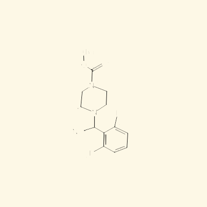 CC(C)(C)OC(=O)N1CCN(C(C#N)c2c(F)cccc2F)CC1